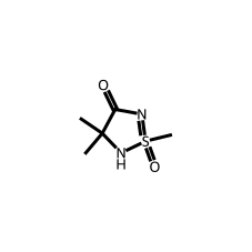 CC1(C)NS(C)(=O)=NC1=O